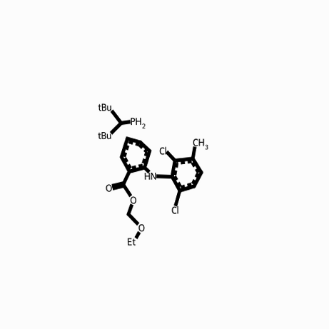 CC(C)(C)C(P)C(C)(C)C.CCOCOC(=O)c1ccccc1Nc1c(Cl)ccc(C)c1Cl